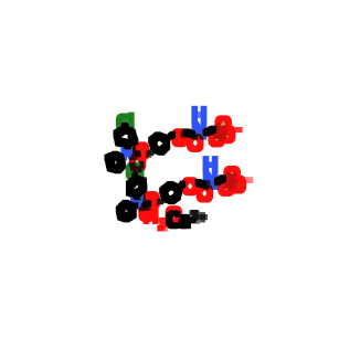 O.O=C(COC[C@H]1CC[C@H](COC(=O)N(c2ccccc2)c2ccc(Cl)cc2)CC1)NCCS(=O)(=O)[O-].O=C(COC[C@H]1CC[C@H](COC(=O)N(c2ccccc2)c2ccc(Cl)cc2)CC1)NCCS(=O)(=O)[O-].[Ca+2]